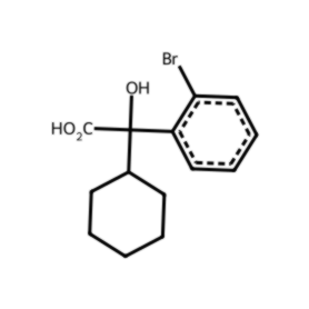 O=C(O)C(O)(c1ccccc1Br)C1CCCCC1